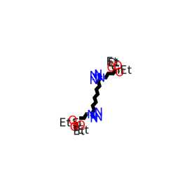 CCO[Si](CCCn1nnnc1CCCCCCc1nnnn1CCC[Si](OCC)(OCC)OCC)(OCC)OCC